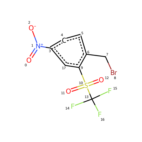 O=[N+]([O-])c1ccc(CBr)c(S(=O)(=O)C(F)(F)F)c1